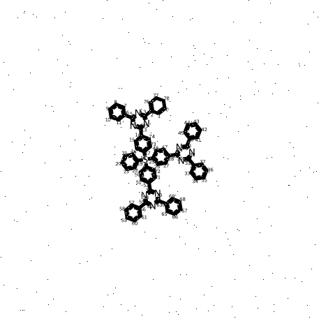 C1=CC(c2nc(-c3ccccc3)nc(-c3ccc(S(c4ccccc4)(c4ccc(-c5nc(-c6ccccc6)nc(-c6ccccc6)n5)cc4)c4ccc(-c5nc(-c6ccccc6)nc(-c6ccccc6)n5)cc4)cc3)n2)=CCC1